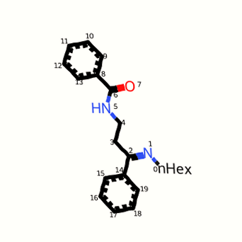 CCCCCCN=C(CCNC(=O)c1ccccc1)c1ccccc1